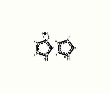 N.c1nnn[nH]1.c1nnn[nH]1